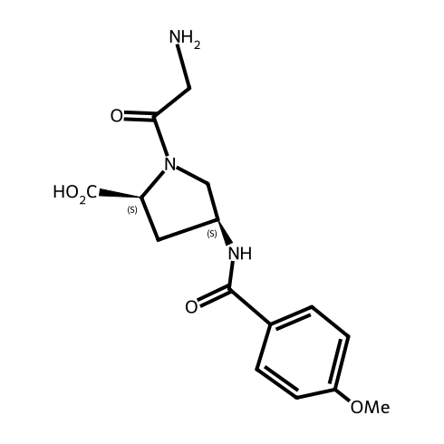 COc1ccc(C(=O)N[C@H]2C[C@@H](C(=O)O)N(C(=O)CN)C2)cc1